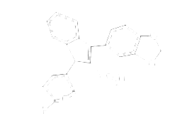 O=C(O)C1=C(c2ccc3c(c2)OCO3)c2ccccc2C1c1ccc(F)cc1